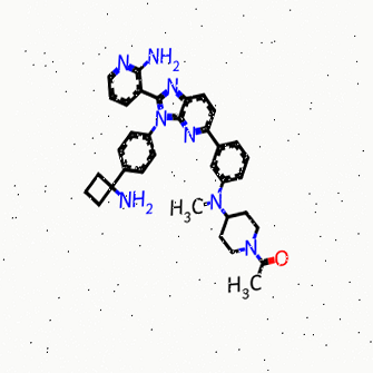 CC(=O)N1CCC(N(C)c2cccc(-c3ccc4nc(-c5cccnc5N)n(-c5ccc(C6(N)CCC6)cc5)c4n3)c2)CC1